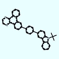 CC(C)(C)n1c2ccccc2c2cc(-c3ccc(-c4ccc5c(c4)c4ccccc4c4nccnc54)cc3)ccc21